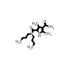 CCCCN(CCCC)C(=O)c1[nH]c(C)c(C(C)=O)c1C